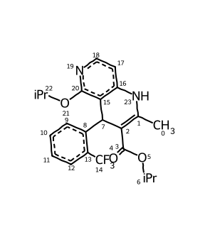 CC1=C(C(=O)OC(C)C)C(c2ccccc2C(F)(F)F)c2c(ccnc2OC(C)C)N1